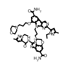 CCn1nc(C)cc1C(=O)Nc1nc2cc(C(N)=O)cc3c2n1[C@@H](CCCn1c2nc(-c4cc(C)nn4CC)ncc2c2cc(C(N)=O)cc(OCCCN4CCOCC4)c21)CO3